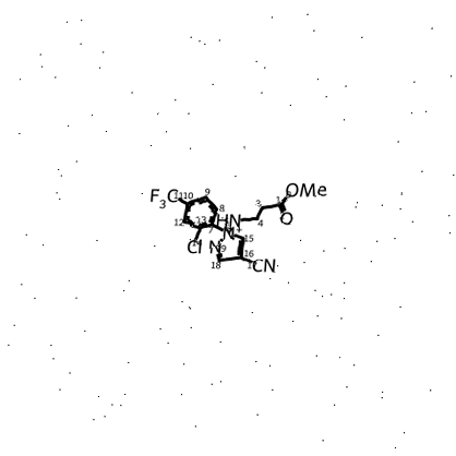 COC(=O)CCN[N+]1(c2ccc(C(F)(F)F)cc2Cl)C=C(C#N)C=N1